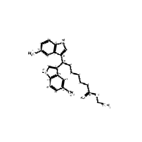 CCOC(=O)CCCCCC(c1c[nH]c2ccc(C)cc12)c1c[nH]c2ccc(C)cc12